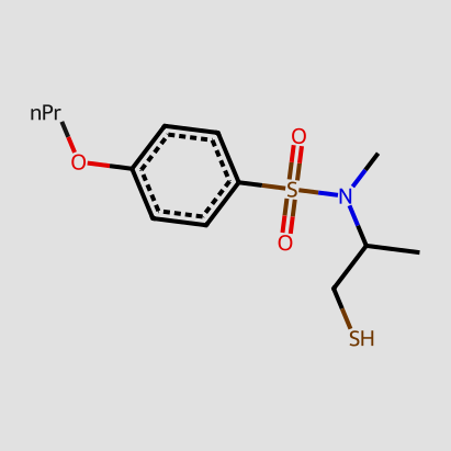 CCCOc1ccc(S(=O)(=O)N(C)C(C)CS)cc1